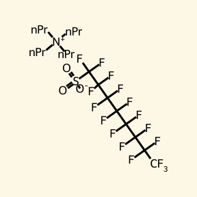 CCC[N+](CCC)(CCC)CCC.O=S(=O)([O-])C(F)(F)C(F)(F)C(F)(F)C(F)(F)C(F)(F)C(F)(F)C(F)(F)C(F)(F)F